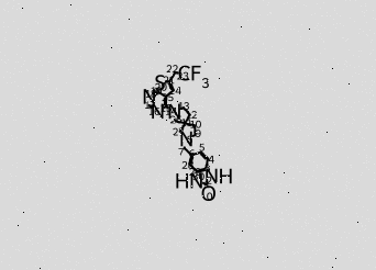 O=c1[nH]c2ccc(CN3CCC4(CCN(c5ncnc6sc(CC(F)(F)F)cc56)C4)C3)cc2[nH]1